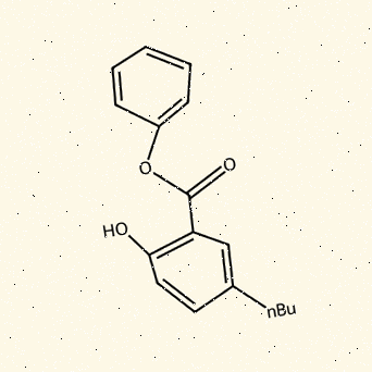 CCCCc1ccc(O)c(C(=O)Oc2ccccc2)c1